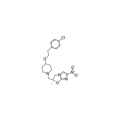 C[C@]1(CN2CCC(OCCc3ccc(Cl)cc3)CC2)Cn2cc([N+](=O)[O-])nc2O1